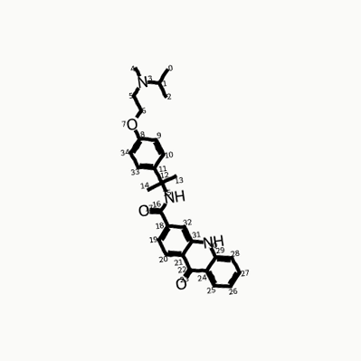 CC(C)N(C)CCOc1ccc(C(C)(C)NC(=O)c2ccc3c(=O)c4ccccc4[nH]c3c2)cc1